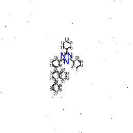 c1ccc(-c2nc(-c3ccccc3)nc(-c3cccc(-c4ccc(-c5ccccc5)c5ccccc45)c3)n2)cc1